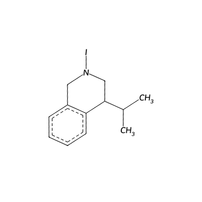 CC(C)C1CN(I)Cc2ccccc21